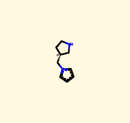 c1ccn(C[C@@H]2CCNC2)c1